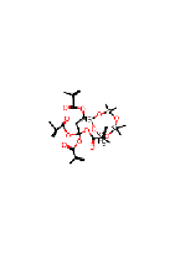 C=C(C)C(=O)OC(CC(OC(=O)C(=C)C)(OC(=O)C(=C)C)OC(=O)C(=C)C)[SiH]1O[SiH2]O[Si](C)(C)O[Si](C)(C)O1